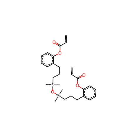 C=CC(=O)Oc1ccccc1CCC[Si](C)(C)O[Si](C)(C)CCCc1ccccc1OC(=O)C=C